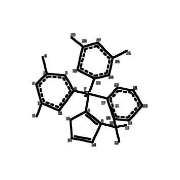 Cc1cc(C)cc([Si](C2=C(C(C)(C)C)C=CC2)(c2ccccc2)c2cc(C)cc(C)c2)c1